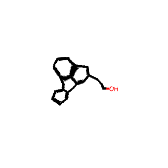 OCCc1cc2c3c(cccc3c1)-c1ccccc1-2